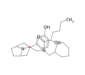 CCCCC(O)C(=O)N(CCN1C2CCC1CC(c1cccc(O)c1)C2)CC1CCCCC1